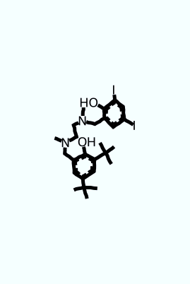 CN(CCN(C)Cc1cc(C(C)(C)C)cc(C(C)(C)C)c1O)Cc1cc(I)cc(I)c1O